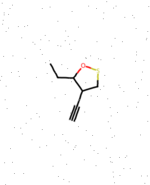 C#CC1CSOC1CC